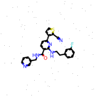 N#Cc1sccc1-c1ccc(C(=O)NCc2cccnc2)c(NCCc2cccc(F)c2)n1